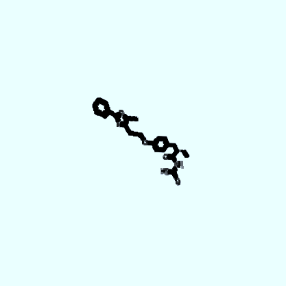 CC[C@@H](Cc1ccc(OCCc2nc(-c3ccccc3)oc2C)cc1)C(=O)NC(=O)S